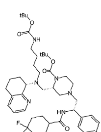 CC(C)(C)OC(=O)NCCCCN(C[C@H]1CN(C[C@@H](NC(=O)C2CCC(F)(F)CC2)c2ccccc2)CCN1C(=O)OC(C)(C)C)[C@H]1CCCc2cccnc21